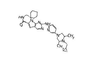 CC1CN(c2ccc(Nc3ncc4cc5n(c4n3)C3(CCCCC3)CNC5=O)nc2)CC(C)N1CC1CC1